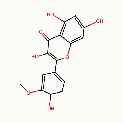 COC1=CC(c2oc3cc(O)cc(O)c3c(=O)c2O)=CCC1O